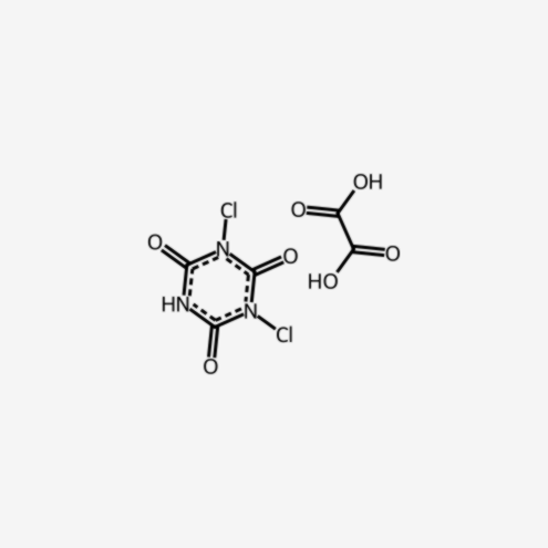 O=C(O)C(=O)O.O=c1[nH]c(=O)n(Cl)c(=O)n1Cl